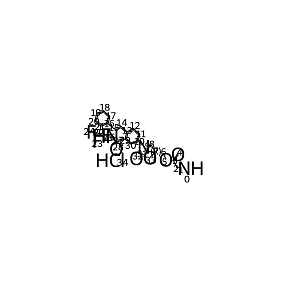 CNCC(=O)OC[C@H]1CN(c2ccc3cc(-c4ccccc4C(F)(F)F)[nH]c(=O)c3c2)C(=O)O1.Cl